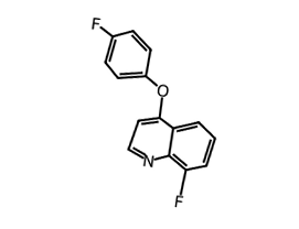 Fc1ccc(Oc2ccnc3c(F)cccc23)cc1